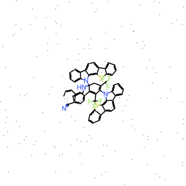 C/C=C\C(C)CNC1(n2c3ccccc3c3ccc4c5ccccc5sc4c32)CC(C(F)(F)F)=C(n2c3ccccc3c3ccc4c5ccccc5sc4c32)C(C(F)(F)F)=C1c1ccc(C#N)cc1